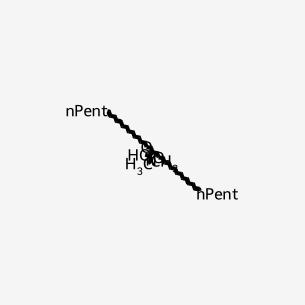 CCCCCC=CCC=CCCCCCCCCOCC(COCCCCCCCCC=CCC=CCCCCC)C(O)N(C)C